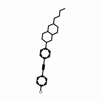 CCCCC1CCC2CC(c3ccc(C#Cc4ccc(Cl)cc4)cc3)CCC2C1